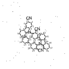 N#Cc1ccc2c(c1)c1ccccc1n2-c1c(C#N)cccc1-c1ccccc1-c1ccc(C#N)c(-n2c3ccccc3c3ccccc32)c1